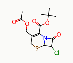 CC(=O)OCC1=C(C(=O)OC(C)(C)C)N2C(=O)C(Cl)C2SC1